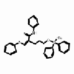 CC(C)(C)[Si](OCCC/C(=C/Sc1ccccc1)C(=S)Nc1ccccc1)(c1ccccc1)c1ccccc1